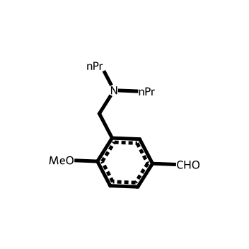 CCCN(CCC)Cc1cc(C=O)ccc1OC